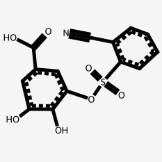 N#Cc1ccccc1S(=O)(=O)Oc1cc(C(=O)O)cc(O)c1O